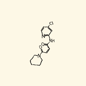 O=C(/C=C\C(=O)N1CCCCC1)Nc1cc(Cl)ccn1